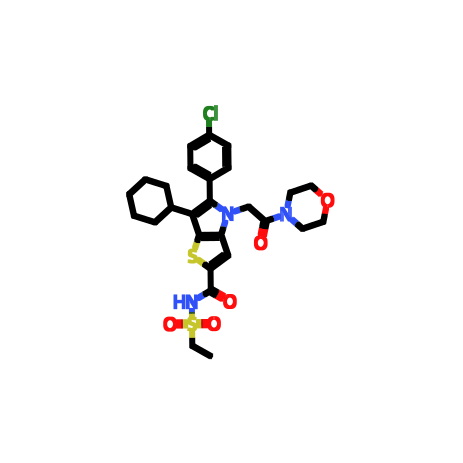 CCS(=O)(=O)NC(=O)c1cc2c(s1)c(C1CCCCC1)c(-c1ccc(Cl)cc1)n2CC(=O)N1CCOCC1